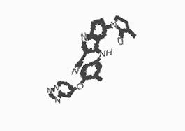 C=C1CCN(c2ccc3ncc(C#N)c(Nc4ccc(Oc5ccn6ncnc6c5)c(C)c4)c3c2)C1=O